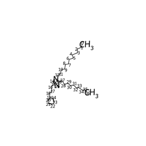 CCCCCCCCCCCCCn1cc(CCCc2ccccc2)nc1CCCCCCCCCC